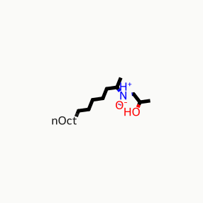 CCCCCCCCCCCCCC(C)[NH+]([O-])CC(C)O